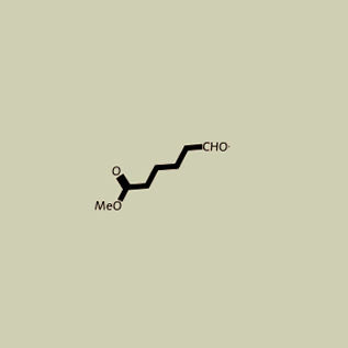 COC(=O)CCCC[C]=O